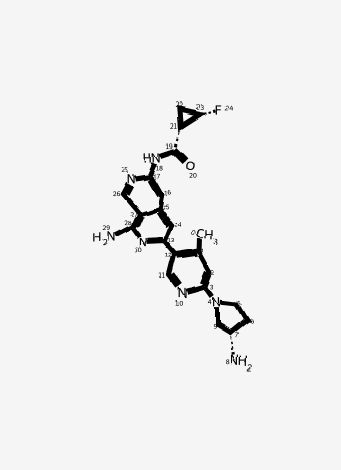 Cc1cc(N2CC[C@H](N)C2)ncc1-c1cc2cc(NC(=O)[C@@H]3C[C@@H]3F)ncc2c(N)n1